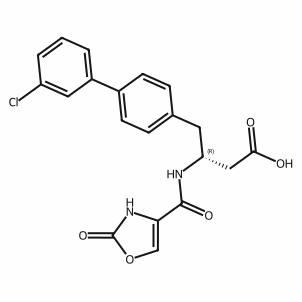 O=C(O)C[C@@H](Cc1ccc(-c2cccc(Cl)c2)cc1)NC(=O)c1coc(=O)[nH]1